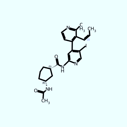 C/C=C\c1c(-c2cc(NC(=O)[C@H]3CCC[C@@H](NC(C)=O)C3)ncc2I)ccnc1C